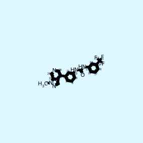 Cn1ncc2c(-c3cccc(NC(=O)Nc4cccc(C(F)(F)F)c4)c3)cncc21